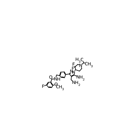 COc1ccc(F)cc1C(=O)NCc1ccc(-c2nn(C3CCN(C(C)C)CC3(F)F)c(N)c2CN)cc1